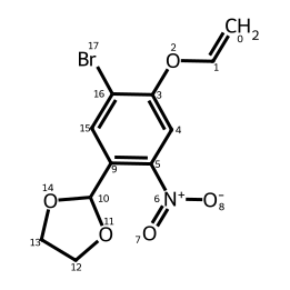 C=COc1cc([N+](=O)[O-])c(C2OCCO2)cc1Br